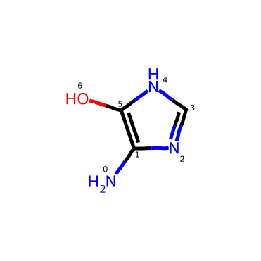 Nc1nc[nH]c1O